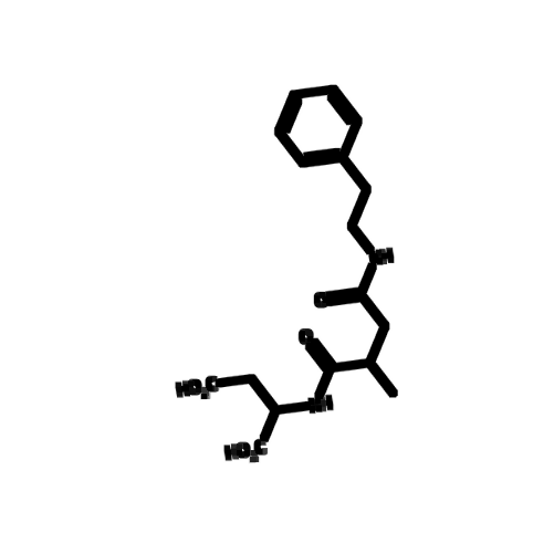 CC(CC(=O)NCCc1ccccc1)C(=O)NC(CC(=O)O)C(=O)O